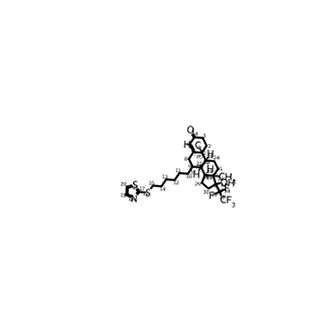 C[C@]12CCC(=O)C=C1CC(CCCCCCSc1nccs1)[C@@H]1[C@H]2CC[C@@]2(C)[C@H]1CCC2(O)C(F)(F)C(F)(F)F